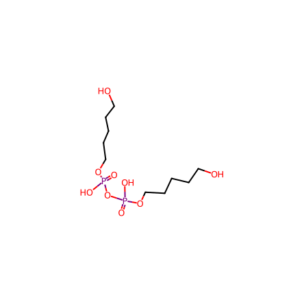 O=P(O)(OCCCCCO)OP(=O)(O)OCCCCCO